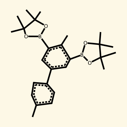 Cc1ccc(-c2cc(B3OC(C)(C)C(C)(C)O3)c(C)c(B3OC(C)(C)C(C)(C)O3)c2)cc1